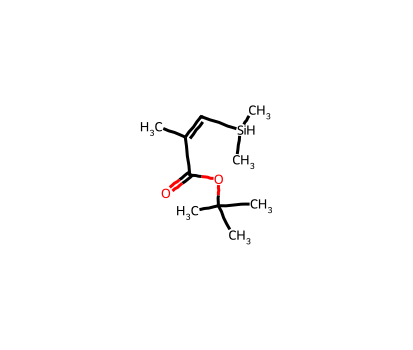 CC(=C[SiH](C)C)C(=O)OC(C)(C)C